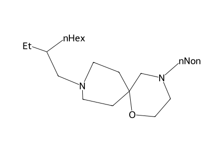 CCCCCCCCCN1CCOC2(CCN(CC(CC)CCCCCC)CC2)C1